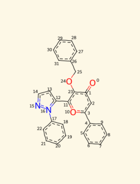 O=c1cc(-c2ccccc2)oc(-c2ccnn2-c2ccccc2)c1OCc1ccccc1